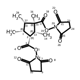 C[C@H]1[C@@H](C(=O)ON2C(=O)CCC2=O)[C@@H](C)[C@](C)(C(=O)ON2C(=O)CCC2=O)[C@H]1C